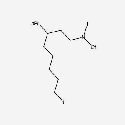 CCCC(CCCCCI)CCN(I)CC